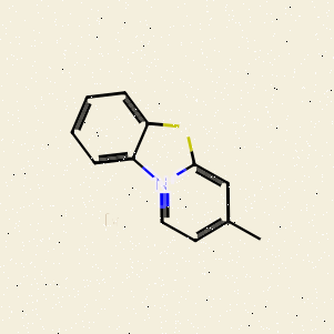 Cc1cc[n+]2c(c1)sc1ccccc12.[Br-]